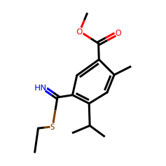 CCSC(=N)c1cc(C(=O)OC)c(C)cc1C(C)C